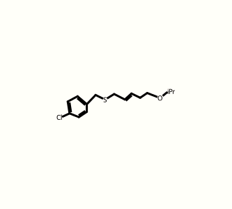 CC(C)OCC/C=C/CSCc1ccc(Cl)cc1